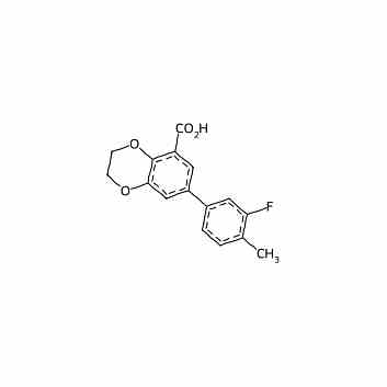 Cc1ccc(-c2cc3c(c(C(=O)O)c2)OCCO3)cc1F